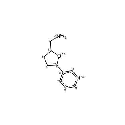 NCC1CC=C(c2cccnc2)O1